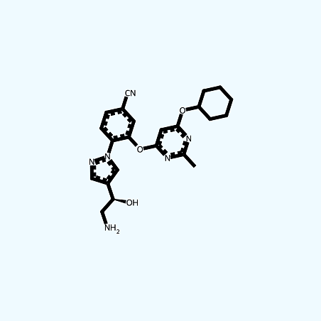 Cc1nc(Oc2cc(C#N)ccc2-n2cc([C@@H](O)CN)cn2)cc(OC2CCCCC2)n1